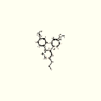 CCCc1nnc(-c2ccc(OC)cc2)c(-c2ccc(OC)cc2)n1